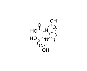 CC1CC(C)[C@H](N(CC(=O)O)CC(=O)O)[C@@H]1N(CC(=O)O)CC(=O)O